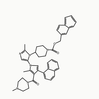 Cc1c(C(=O)N2CCN(C)CC2)c(-c2cccc3ccccc23)cn1-c1cnc(C)n1C1CCN(C(=O)OCc2ccc3ccccc3c2)CC1